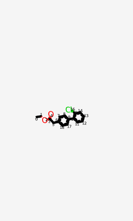 CCOC(=O)Cc1ccc(-c2ccccc2Cl)cc1